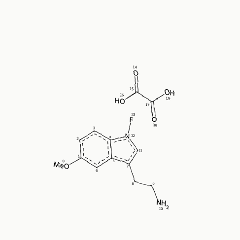 COc1ccc2c(c1)c(CCN)cn2F.O=C(O)C(=O)O